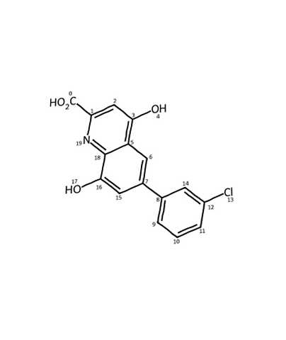 O=C(O)c1cc(O)c2cc(-c3cccc(Cl)c3)cc(O)c2n1